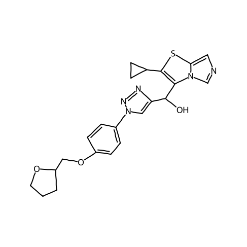 OC(c1cn(-c2ccc(OCC3CCCO3)cc2)nn1)c1c(C2CC2)sc2cncn12